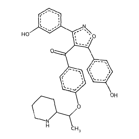 CC(Oc1ccc(C(=O)c2c(-c3cccc(O)c3)noc2-c2ccc(O)cc2)cc1)C1CCCCN1